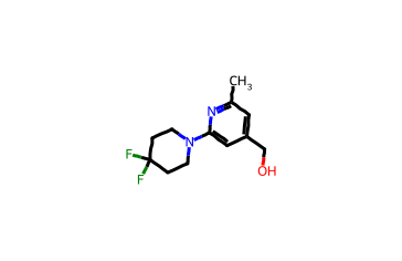 Cc1cc(CO)cc(N2CCC(F)(F)CC2)n1